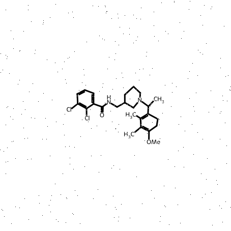 COC1=C(C)C(C)=C(C(C)N2CCCC(CNC(=O)c3cccc(Cl)c3Cl)C2)CC1